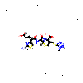 Cn1nnnc1SCC1=C(C(=O)O)N2C(=O)C(NC(=O)/C(=C/CC(=O)O)c3csc(N)n3)[C@H]2SC1